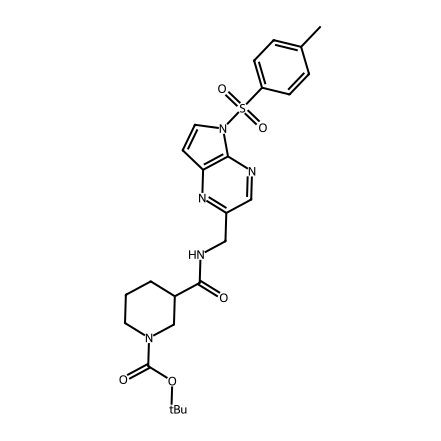 Cc1ccc(S(=O)(=O)n2ccc3nc(CNC(=O)C4CCCN(C(=O)OC(C)(C)C)C4)cnc32)cc1